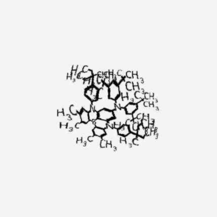 CCC(C)(CC)c1ccc(N2c3cc(C)c(C)cc3B3c4cc(C)c(C)cc4N(c4ccc(C(C)(CC)CC)cc4)c4cc(N(c5cc(C(C)(C)C)cc(C(C)(C)C)c5)c5cc(C(C)(C)C)cc(C(C)(C)C)c5)cc2c43)cc1